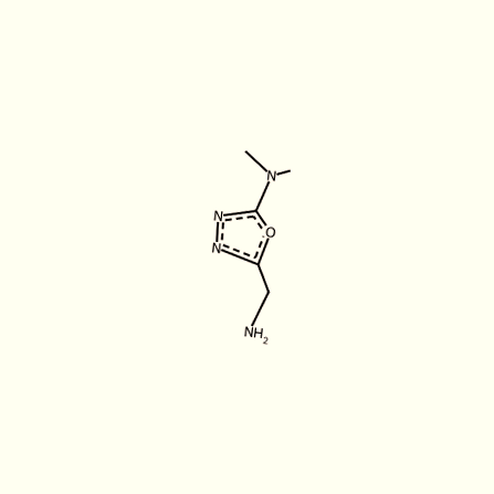 CN(C)c1nnc(CN)o1